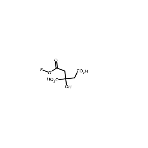 O=C(O)CC(O)(CC(=O)OF)C(=O)O